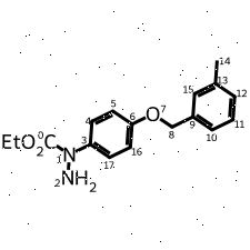 CCOC(=O)N(N)c1ccc(OCc2cccc(C)c2)cc1